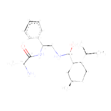 CC(C)[C@@H]1CC[C@@H](C)C[C@H]1[C@H](O)NCC(NC(=O)[C@@H](C)N)c1ccccc1